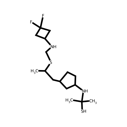 CC(CC1CCC(NC(C)(C)S)C1)SCNC1CC(F)(F)C1